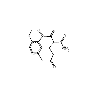 C=C(C(=O)c1cc(C)ccc1CC)C(CCC=O)C(N)=O